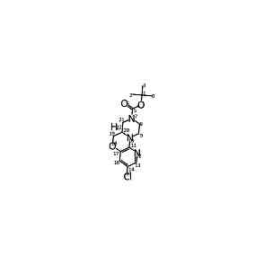 CC(C)(C)OC(=O)N1CCN2c3ncc(Cl)cc3OC[C@H]2C1